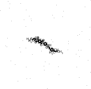 CCCC(C)(C)c1ccc(/C=C/C(=O)Nc2ccc(-n3c(=O)c4cc5c(=O)n(C(C)(CC)CCC)c(=O)c5cc4c3=O)cc2)cc1